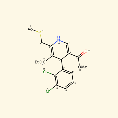 CCOC(=O)C1=C(CSC(C)=O)NC=C(C(=O)OC)C1c1cccc(Cl)c1Cl